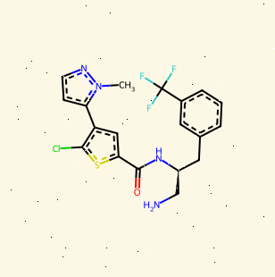 Cn1nccc1-c1cc(C(=O)N[C@H](CN)Cc2cccc(C(F)(F)F)c2)sc1Cl